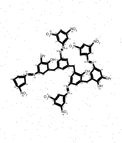 CCCC1=C(O)C(Cc2cc(Cc3cc(N=Nc4cc([N+](=O)[O-])cc([N+](=O)[O-])c4)cc(Cc4cc(N=Nc5cc([N+](=O)[O-])cc([N+](=O)[O-])c5)cc(CCC)c4O)c3O)cc(N=Nc3cc([N+](=O)[O-])cc([N+](=O)[O-])c3)c2)CC(N=Nc2cccc([N+](=O)[O-])c2)=C1